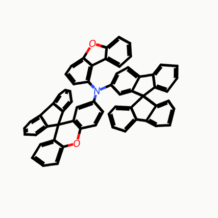 c1ccc2c(c1)Oc1ccc(N(c3ccc4c(c3)C3(c5ccccc5-c5ccccc53)c3ccccc3-4)c3cccc4oc5ccccc5c34)cc1C21c2ccccc2-c2ccccc21